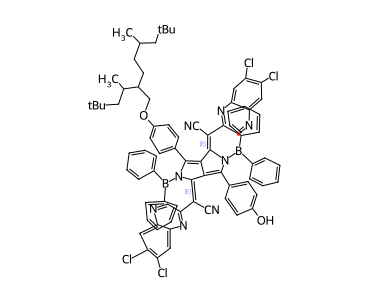 CC(CCC(COc1ccc(-c2c3/c(=C(\C#N)c4cnc5cc(Cl)c(Cl)cc5n4)n(B(c4ccccc4)c4ccccc4)c(-c4ccc(O)cc4)c3/c(=C(\C#N)c3cnc4cc(Cl)c(Cl)cc4n3)n2B(c2ccccc2)c2ccccc2)cc1)C(C)CC(C)(C)C)CC(C)(C)C